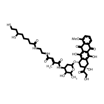 COc1cccc2c1C(=O)c1c(O)c3c(c(O)c1C2=O)C[C@@](O)(C(=O)CO)C[C@@H]3OC1CC(NC(=O)/C(C)=C/C(=O)NCCNC(=O)CCCCC(S)CCS)C(O)C(C)O1